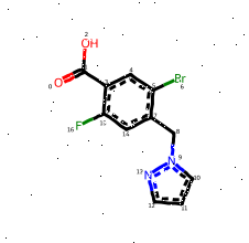 O=C(O)c1cc(Br)c(Cn2cccn2)cc1F